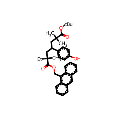 CCC(C)(CC(CC(C)(C)C(=O)OC(C)(C)C)c1ccc(O)cc1)C(=O)OCc1c2ccccc2cc2ccccc12